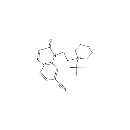 CC(C)(C)[N+]1(CCn2c(=O)ccc3ccc(C#N)cc32)CC[CH]CC1